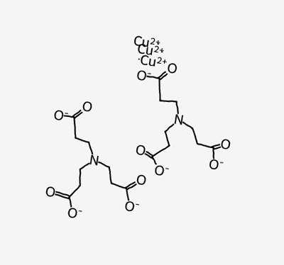 O=C([O-])CCN(CCC(=O)[O-])CCC(=O)[O-].O=C([O-])CCN(CCC(=O)[O-])CCC(=O)[O-].[Cu+2].[Cu+2].[Cu+2]